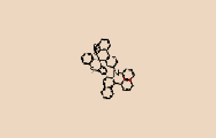 c1ccc(-c2c(N(c3ccccc3)c3ccc4c(c3)C3(c5ccccc5Sc5ccccc53)c3cccc5cccc-4c35)ccc3ccccc23)cc1